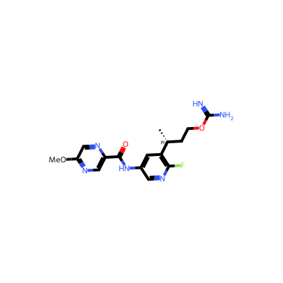 COc1cnc(C(=O)Nc2cnc(F)c([C@H](C)CCOC(=N)N)c2)cn1